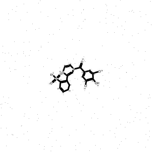 CCS(=O)(=O)C1=C(C2=CN(C(=O)c3cc(Cl)c(O)c(Cl)c3)C=CO2)CCC=C1